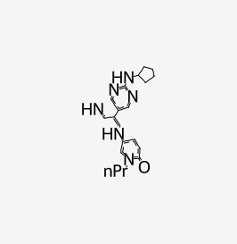 CCCn1cc(N/C=C(\C=N)c2cnc(NC3CCCC3)nc2)ccc1=O